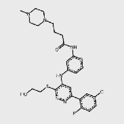 CN1CCN(CCCC(=O)Nc2cc(Nc3cc(-c4cc(Cl)ccc4F)nnc3SCCO)ccn2)CC1